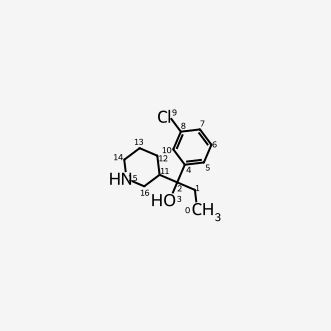 CCC(O)(c1cccc(Cl)c1)C1CCCNC1